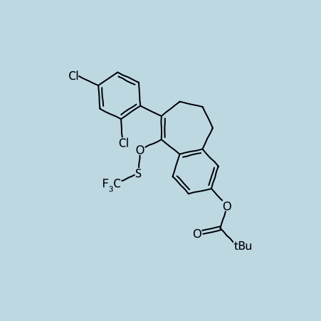 CC(C)(C)C(=O)Oc1ccc2c(c1)CCCC(c1ccc(Cl)cc1Cl)=C2OSC(F)(F)F